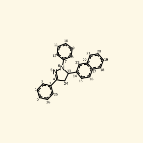 c1ccc(C2=NN(c3ccccc3)C(c3ccc4ccccc4c3)C2)cc1